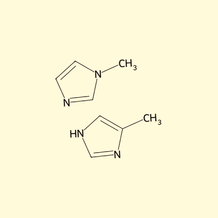 Cc1c[nH]cn1.Cn1ccnc1